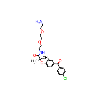 CC(C)(Oc1ccc(C(=O)c2ccc(Cl)cc2)cc1)C(=O)NCCOCCOCCN